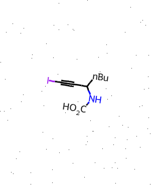 CCCCC(C#CI)NC(=O)O